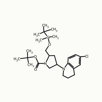 CC(C)(C)OC(=O)N1CC(N2CCCc3cc(Cl)ccc32)CC1CO[Si](C)(C)C(C)(C)C